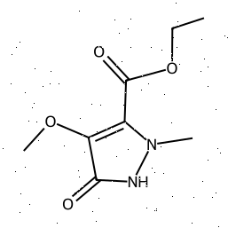 CCOC(=O)c1c(OC)c(=O)[nH]n1C